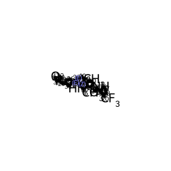 CC1\C=C(N[C@@H](C)c2cccc(NC(=O)c3cccc(C(F)(F)F)c3)c2)/N=C(c2ccc(CN3CCOCC3)cc2)\C=C\C1